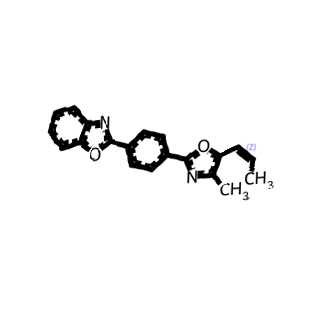 C/C=C\c1oc(-c2ccc(-c3nc4ccccc4o3)cc2)nc1C